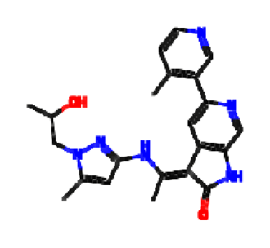 CC(Nc1cc(C)n(CC(C)O)n1)=C1C(=O)Nc2cnc(-c3cnccc3C)cc21